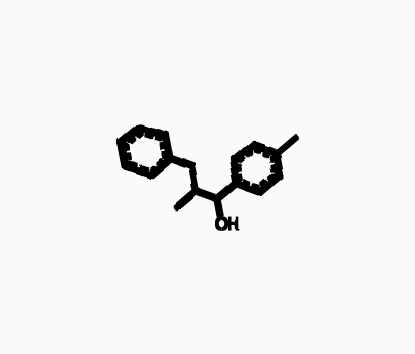 Cc1ccc(C(O)C(C)Cc2ccccc2)cc1